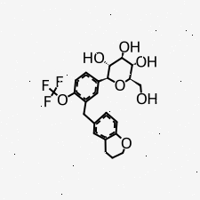 OC[C@H]1O[C@@H](c2ccc(OC(F)(F)F)c(Cc3ccc4c(c3)CCCO4)c2)[C@H](O)[C@@H](O)[C@@H]1O